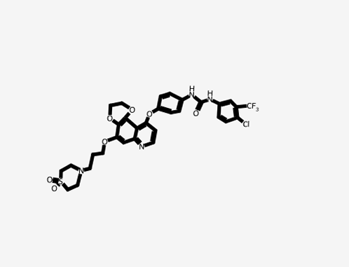 O=C(Nc1ccc(Oc2ccnc3cc(OCCCN4CCS(=O)(=O)CC4)c4c(c23)OCCO4)cc1)Nc1ccc(Cl)c(C(F)(F)F)c1